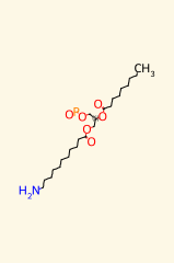 CCCCCCCCC(=O)O[C@H](COP=O)COC(=O)CCCCCCCCCCN